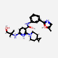 Cc1cnc(-c2cccc(NC(=O)c3ccc(NC(C)(C)CO)nc3N3CCC4(CC3)CC4)c2)o1